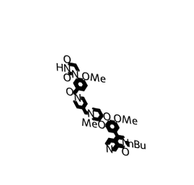 CCCCn1cc(-c2cc(OC)c(OC3CCN(CC4CCN(C(=O)c5ccc(OC)c(N6CCC(=O)NC6=O)c5)CC4)CC3)c(OC)c2)c2ccncc2c1=O